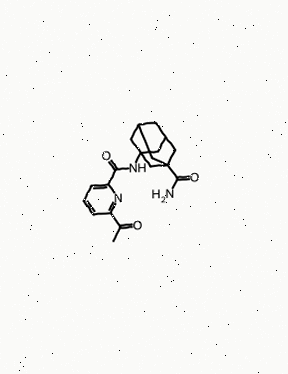 CC(=O)c1cccc(C(=O)NC23CC4CC(C2)CC(C(N)=O)(C4)C3)n1